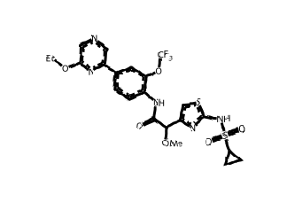 CCOc1cncc(-c2ccc(NC(=O)C(OC)c3csc(NS(=O)(=O)C4CC4)n3)c(OC(F)(F)F)c2)n1